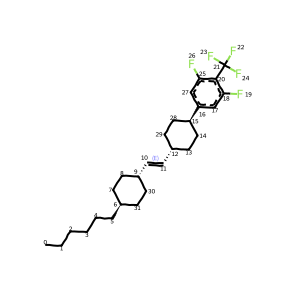 CCCCCC[C@H]1CC[C@H](/C=C/[C@H]2CC[C@H](c3cc(F)c(C(F)(F)F)c(F)c3)CC2)CC1